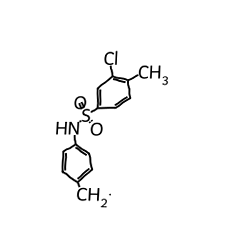 [CH2]c1ccc(NS(=O)(=O)c2ccc(C)c(Cl)c2)cc1